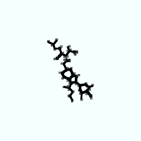 COC[C@@H](C)n1c(-c2cc(C)c(=O)n(C)c2)nc2cc(CN[C@H](C(=O)OCC(C)C)[C@@H](C)O)ccc21